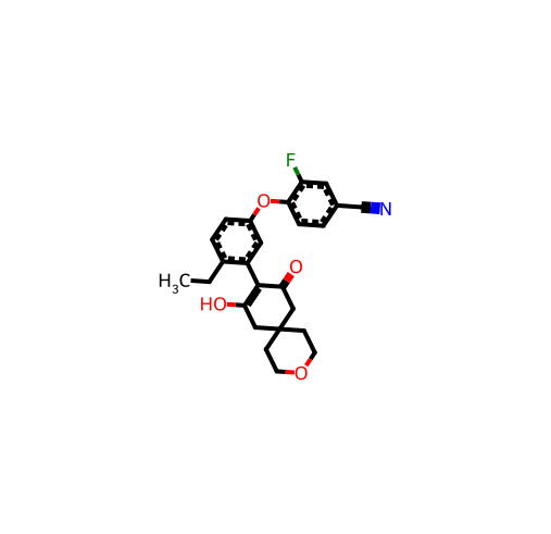 CCc1ccc(Oc2ccc(C#N)cc2F)cc1C1=C(O)CC2(CCOCC2)CC1=O